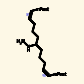 CCCCC/C=C\CCCC(CCC/C=C\CCCCC)NN